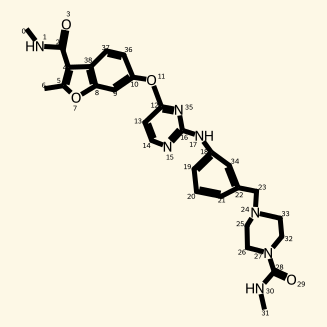 CNC(=O)c1c(C)oc2cc(Oc3ccnc(Nc4cccc(CN5CCN(C(=O)NC)CC5)c4)n3)ccc12